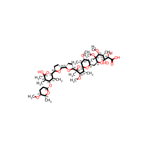 CO[C@H]1CC[C@H](O[C@H]2[C@H](C)[C@@H]([C@H]3CC[C@H]([C@@H]4CC[C@H]([C@@]5(C)O[C@]6(O[C@H](C[C@@H]7O[C@](O)([C@@H](O)C(=O)O)[C@@H](C)[C@H](OC)[C@@]7(C)OC)C[C@@H](OC)[C@H]6C)[C@H](C)[C@H]5OC)O4)O3)O[C@](C)(O)[C@@H]2C)O[C@@H]1C